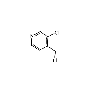 ClCc1ccncc1Cl